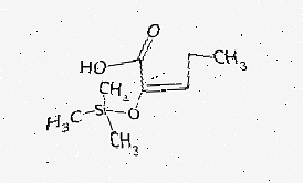 CC/C=C(/O[Si](C)(C)C)C(=O)O